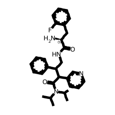 CC(C)N(C(=O)C(c1cccnc1)C(CNC(=O)[C@@H](N)Cc1ccccc1F)c1ccccc1)C(C)C